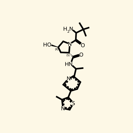 Cc1ncsc1-c1ccc(C(C)NC(=O)[C@@H]2C[C@@H](O)CN2C(=O)C(N)C(C)(C)C)nc1